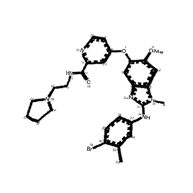 COc1cc2c(cc1Oc1ccnc(C(=O)NCCN3CCCC3)c1)nc(Nc1ccc(Br)c(C)c1)n2C